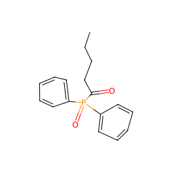 CCCCC(=O)P(=O)(c1ccccc1)c1ccccc1